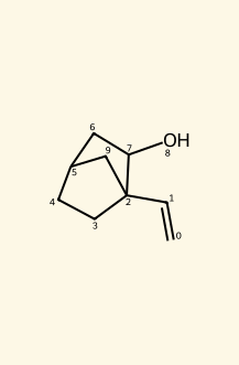 C=CC12CCC(CC1O)C2